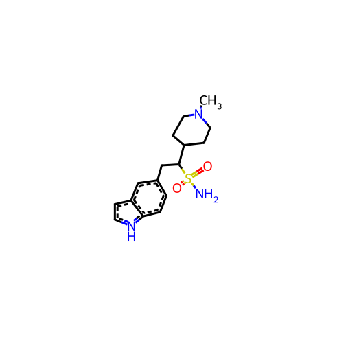 CN1CCC(C(Cc2ccc3[nH]ccc3c2)S(N)(=O)=O)CC1